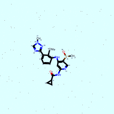 COc1c(Nc2cc(NC(=O)C3CC3)ncc2[S+](C)[O-])cccc1-c1ncn(C)n1